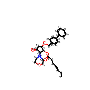 CCC=CCCC(=O)OC1C(OCc2ccc(-c3ccccc3)cc2)CC(=O)C1N1CCOCC1